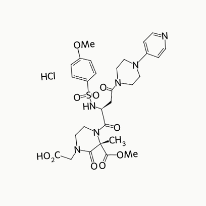 COC(=O)[C@]1(C)C(=O)N(CC(=O)O)CCN1C(=O)[C@H](CC(=O)N1CCN(c2ccncc2)CC1)NS(=O)(=O)c1ccc(OC)cc1.Cl